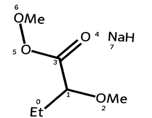 CCC(OC)C(=O)OOC.[NaH]